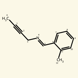 CC#CCN=Cc1ccccc1C